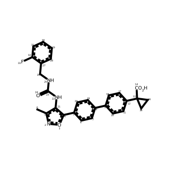 Cc1noc(-c2ccc(-c3ccc(C4(C(=O)O)CC4)cc3)cc2)c1NC(=O)NCc1ccccc1F